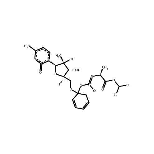 CCC(CC)OC(=O)[C@H](C)N=[P+]([O-])OC1(OC[C@@]2(F)O[C@@H](n3ccc(N)nc3=O)[C@](C)(O)[C@@H]2O)C=CC=CC1